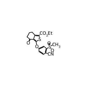 CCOC(=O)c1sc(Oc2ccc(C#N)c(S(C)(=O)=O)c2)c2c1CCCC2=O